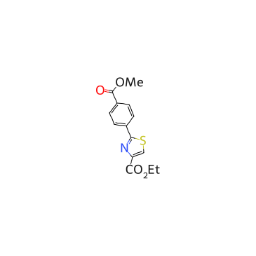 CCOC(=O)c1csc(-c2ccc(C(=O)OC)cc2)n1